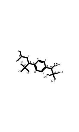 CC(C)CC(c1ccc(C(O)C(F)(F)F)cc1)C(C)(C)C